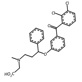 CN(CCC(Oc1cccc(C(=O)c2cccc(Cl)c2Cl)c1)c1ccccc1)CC(=O)O